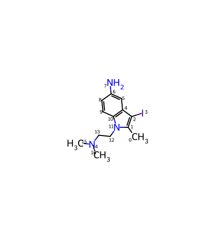 Cc1c(I)c2cc(N)ccc2n1CCN(C)C